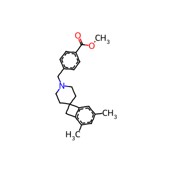 COC(=O)c1ccc(CN2CCC3(CC2)Cc2c(C)cc(C)cc23)cc1